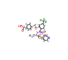 CC(C)CN(c1ccc(C(F)(F)F)cc1OCc1ccc(C(=O)O)cc1)S(=O)(=O)c1cccnc1